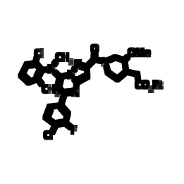 CCOC(=O)CC1CCN(C(=O)c2cc3nc(-c4ccc(Cl)c(F)c4)cc(N(C)c4c(C)cccc4Cl)n3n2)CC1OC